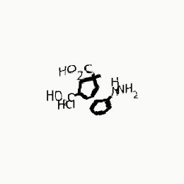 CC1(C(=O)O)C=CC=C(C(=O)O)C1.Cl.NNc1ccccc1